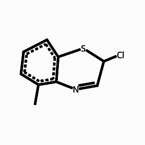 Cc1cccc2c1N=CC(Cl)S2